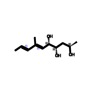 C/C=C/C(C)=C/[C@H](O)[C@@H](O)C[C@H](C)O